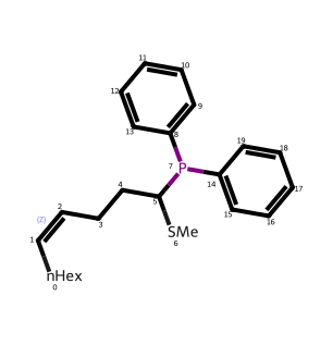 CCCCCC/C=C\CCC(SC)P(c1ccccc1)c1ccccc1